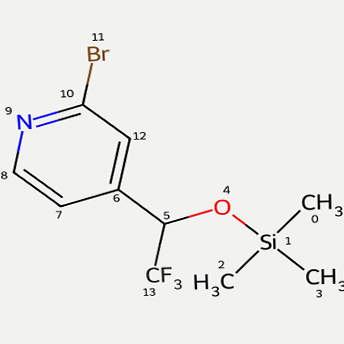 C[Si](C)(C)OC(c1ccnc(Br)c1)C(F)(F)F